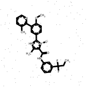 CCC(F)(F)c1cccc(NC(=O)c2c(C)[nH]c(-c3ccc(OC)c(-c4ncccc4C)c3)[n+]2[O-])c1